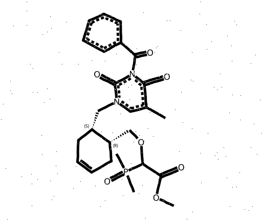 COC(=O)C(OC[C@@H]1CC=CC[C@@H]1Cn1cc(C)c(=O)n(C(=O)c2ccccc2)c1=O)P(C)(C)=O